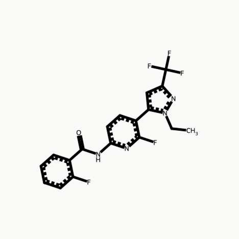 CCn1nc(C(F)(F)F)cc1-c1ccc(NC(=O)c2ccccc2F)nc1F